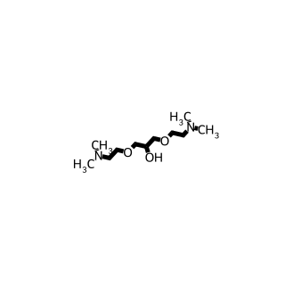 CN(C)CCOCC(O)COCCN(C)C